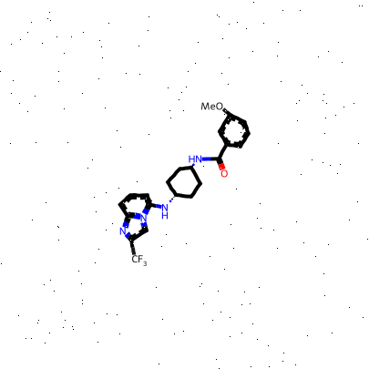 COc1cccc(C(=O)N[C@H]2CC[C@@H](Nc3cccc4nc(C(F)(F)F)cn34)CC2)c1